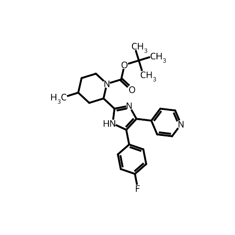 CC1CCN(C(=O)OC(C)(C)C)C(c2nc(-c3ccncc3)c(-c3ccc(F)cc3)[nH]2)C1